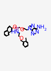 Cc1ccccc1COCCNP(COCCn1cnc2c(N)ncnc21)Oc1ccc2ccccc2c1